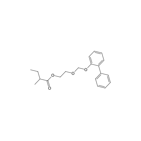 CCC(C)C(=O)OCCOCOc1ccccc1-c1ccccc1